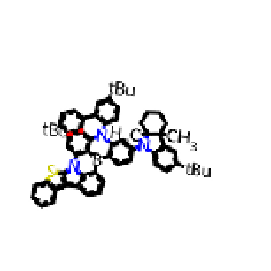 CC(C)(C)c1ccc(N2c3cc(N4c5ccc(C(C)(C)C)cc5C5(C)CCCCC45C)ccc3B3c4c2cc(C(C)(C)C)cc4-n2c4sc5ccccc5c4c4cccc3c42)c(-c2ccccc2)c1